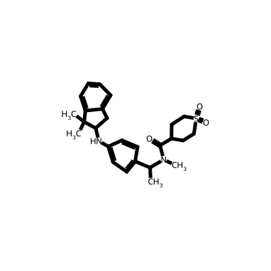 CC(c1ccc(NC2Cc3ccccc3C2(C)C)cc1)N(C)C(=O)C1CCS(=O)(=O)CC1